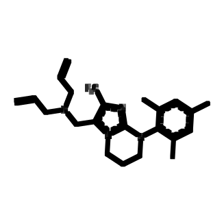 C=CCN(CC=C)Cc1c(C(F)(F)F)nc2n1CCCN2c1c(C)cc(C)cc1C